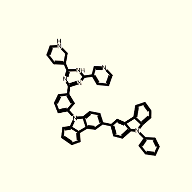 C1=CNCC(C2=NC(c3cccc(-n4c5ccccc5c5cc(-c6ccc7c(c6)c6ccccc6n7-c6ccccc6)ccc54)c3)=NC(c3cccnc3)N2)=C1